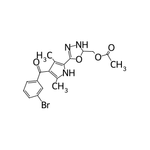 CC(=O)OCC1NN=C(c2[nH]c(C)c(C(=O)c3cccc(Br)c3)c2C)O1